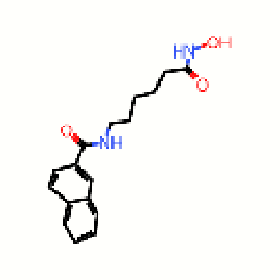 O=C(CCCCCNC(=O)c1ccc2ccccc2c1)NO